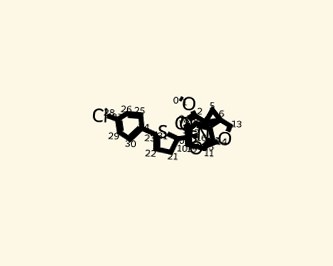 COC(=O)C12CC1(c1ccccc1)COCN2S(=O)(=O)C1CC=C(c2ccc(Cl)cc2)S1